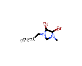 CCCCCCN1CN(C)C(Br)C1Br